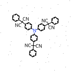 N#CC(C#N)(c1ccccc1)c1ccc(N(c2ccc(C(C#N)(C#N)c3ccccc3)cc2)c2ccc(C(C#N)(C#N)c3ccccc3)cc2)cc1